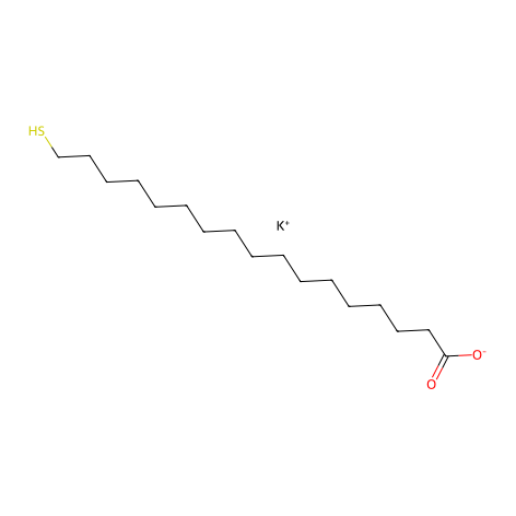 O=C([O-])CCCCCCCCCCCCCCCCS.[K+]